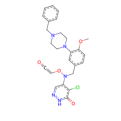 COc1ccc(CN(OC=C=O)c2cn[nH]c(=O)c2Cl)cc1N1CCN(Cc2ccccc2)CC1